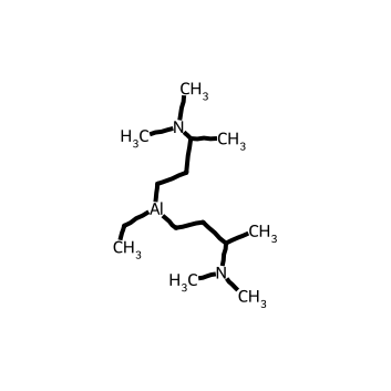 C[CH2][Al]([CH2]CC(C)N(C)C)[CH2]CC(C)N(C)C